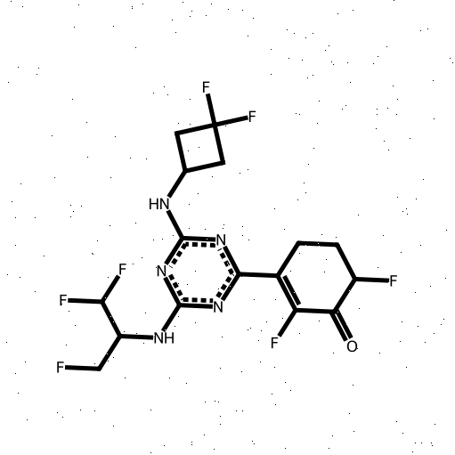 O=C1C(F)=C(c2nc(NC3CC(F)(F)C3)nc(NC(CF)C(F)F)n2)CCC1F